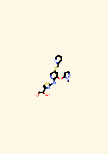 Cn1nccc1Oc1cc(SCc2ccccn2)cnc1Nc1nc(C(O)CO)cs1